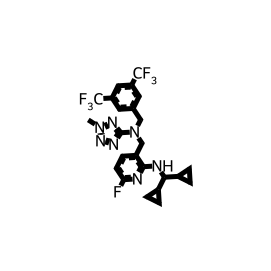 Cn1nnc(N(Cc2cc(C(F)(F)F)cc(C(F)(F)F)c2)Cc2ccc(F)nc2NC(C2CC2)C2CC2)n1